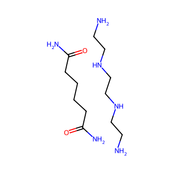 NC(=O)CCCCC(N)=O.NCCNCCNCCN